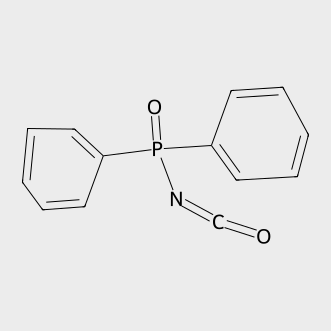 O=C=NP(=O)(c1ccccc1)c1ccccc1